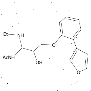 CCNC(NC(C)=O)C(O)COc1ccccc1-c1ccoc1